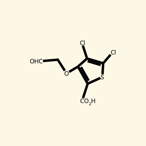 O=CCOc1c(C(=O)O)sc(Cl)c1Cl